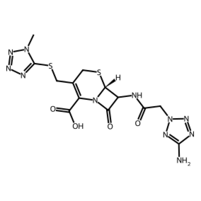 Cn1nnnc1SCC1=C(C(=O)O)N2C(=O)C(NC(=O)Cn3nnc(N)n3)[C@H]2SC1